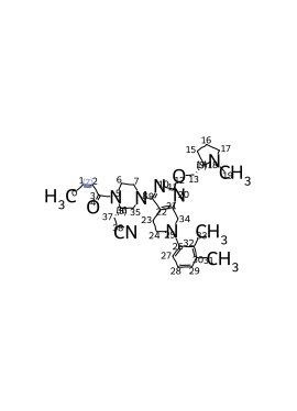 C/C=C\C(=O)N1CCN(c2nc(OC[C@@H]3CCCN3C)nc3c2CCN(c2cccc(C)c2C)C3)C[C@@H]1CC#N